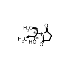 C=C[C@@H](O)[C@@H](C=C)N1C(=O)CCC1=O